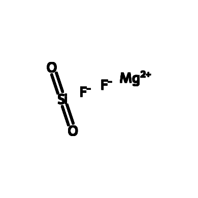 O=[Si]=O.[F-].[F-].[Mg+2]